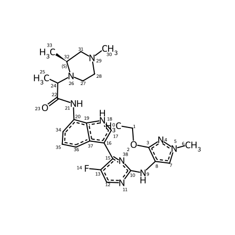 CCOc1nn(C)cc1Nc1ncc(F)c(-c2c[nH]c3c(NC(=O)C(C)N4CCN(C)C[C@@H]4C)cccc23)n1